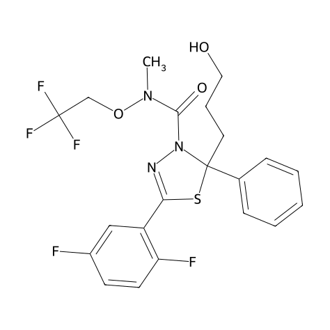 CN(OCC(F)(F)F)C(=O)N1N=C(c2cc(F)ccc2F)SC1(CCCO)c1ccccc1